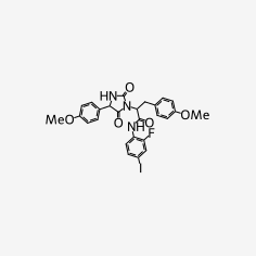 COc1ccc(CC(C(=O)Nc2ccc(I)cc2F)N2C(=O)NC(c3ccc(OC)cc3)C2=O)cc1